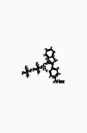 CCCCCC[n+]1ccc(-c2sc3ccccc3[n+]2C)cc1.F[B-](F)(F)F.F[B-](F)(F)F